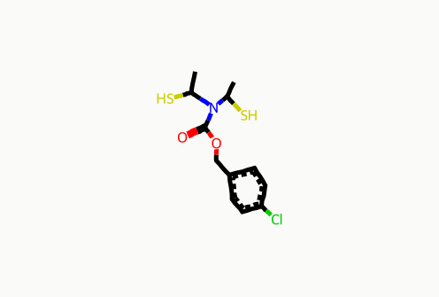 CC(S)N(C(=O)OCc1ccc(Cl)cc1)C(C)S